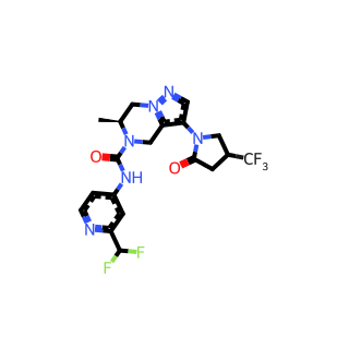 C[C@H]1Cn2ncc(N3CC(C(F)(F)F)CC3=O)c2CN1C(=O)Nc1ccnc(C(F)F)c1